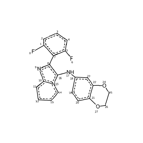 Fc1cccc(F)c1-c1nc2ccccn2c1Nc1ccc2c(c1)OCCO2